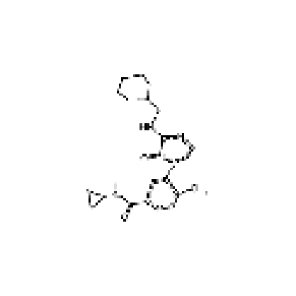 Cc1ccc(C(=O)NC2CC2)cc1-n1ccnc(NCC2CCCCC2)c1=O